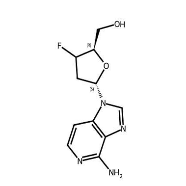 Nc1nccc2c1ncn2[C@@H]1CC(F)[C@@H](CO)O1